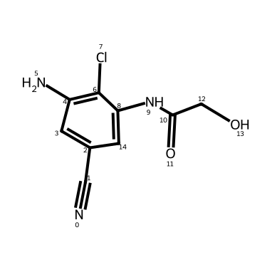 N#Cc1cc(N)c(Cl)c(NC(=O)CO)c1